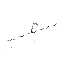 CCCCCCCCCCCCCN(C=CCN)CCCCCCCCCCCCC